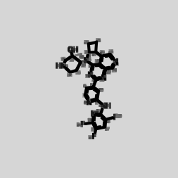 CN(c1nc(-c2ccnc(Nc3nc(F)c(F)cc3F)c2)nc2cncc(C3CCC3)c12)[C@@H]1CCNC[C@@]1(C)O